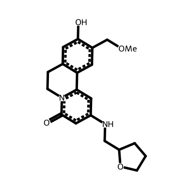 COCc1cc2c(cc1O)CCn1c-2cc(NCC2CCCO2)cc1=O